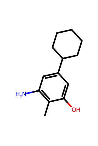 Cc1c(N)cc(C2CCCCC2)cc1O